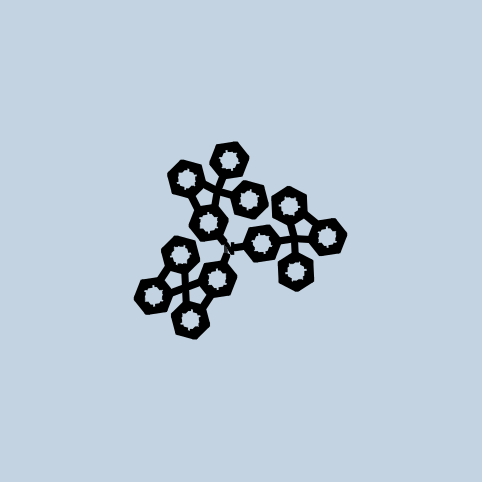 c1ccc(C2(c3ccc(N(c4ccc5c(c4)C(c4ccccc4)(c4ccccc4)c4ccccc4-5)c4ccc5c(c4)C4(c6ccccc6-c6ccccc64)c4ccccc4-5)cc3)c3ccccc3-c3ccccc32)cc1